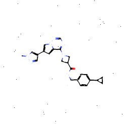 CC[C@H](NC(=O)C1CN(c2ncnn3cc(-c4cnn(C)c4)cc23)C1)c1ccc(C2CC2)cc1